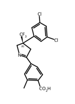 Cc1cc(C2=NC[C@@](c3cc(Cl)cc(Cl)c3)(C(F)(F)F)C2)ccc1C(=O)O